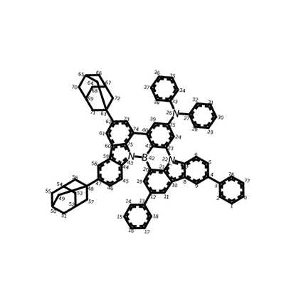 c1ccc(-c2ccc3c(c2)c2cc(-c4ccccc4)cc4c2n3-c2cc(N(c3ccccc3)c3ccccc3)cc3c2B4n2c4ccc(C56CC7CC(CC(C7)C5)C6)cc4c4cc(C56CC7CC(CC(C7)C5)C6)cc-3c42)cc1